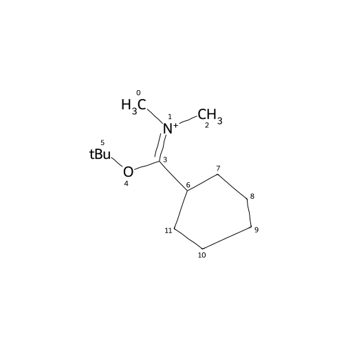 C[N+](C)=C(OC(C)(C)C)C1CCCCC1